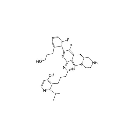 CC(C)c1nccc(O)c1CCCc1nc(N2CCNC[C@@H]2C)c2cc(F)c(-c3c(F)cccc3CCCO)nc2n1